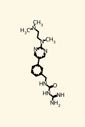 CN(C)CCN(C)c1ncc(-c2cccc(CNC(=O)NC(=N)N)c2)cn1